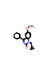 COc1ccc2c(c1)c(C1CCCCC1)nc(=O)n2CC1CC1